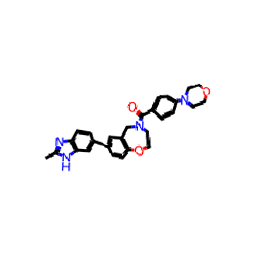 Cc1nc2ccc(-c3ccc4c(c3)CN(C(=O)c3ccc(N5CCOCC5)cc3)CCO4)cc2[nH]1